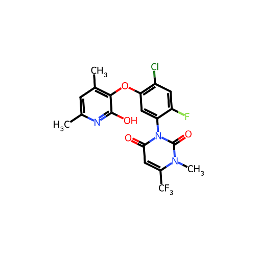 Cc1cc(C)c(Oc2cc(-n3c(=O)cc(C(F)(F)F)n(C)c3=O)c(F)cc2Cl)c(O)n1